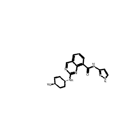 O=C(Nc1cc[nH]n1)c1cccc2cnc(N[C@H]3CC[C@H](O)CC3)nc12